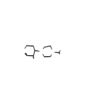 CC(C)N1CCN(C2CCN=CC2N)CC1